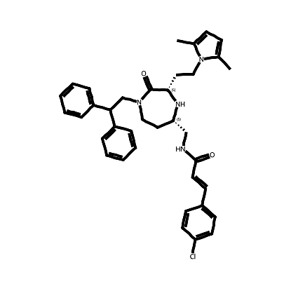 Cc1ccc(C)n1CC[C@@H]1N[C@H](CNC(=O)C=Cc2ccc(Cl)cc2)CCN(CC(c2ccccc2)c2ccccc2)C1=O